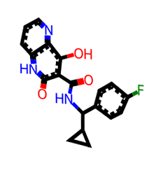 O=C(NC(c1ccc(F)cc1)C1CC1)c1c(O)c2ncccc2[nH]c1=O